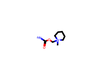 C[N+]1(COC([NH])=O)CCCCC1